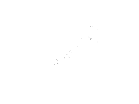 CCCCOc1nc(N)c2ncc(Cc3cnc(N4CCN(C(=O)CN(C)C(=O)OC(C)(C)C)CC4)c(C)c3)n2n1